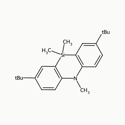 CN1c2ccc(C(C)(C)C)cc2[Si](C)(C)c2cc(C(C)(C)C)ccc21